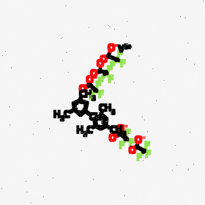 Cc1cc(C)cc(C)c1.Cc1cc(C)cc(C)c1.O=C([O-])C(F)(F)F.O=C([O-])C(F)(F)F.O=C([O-])C(F)(F)F.O=C([O-])C(F)(F)F.O=C([O-])C(F)(F)F.[V+5]